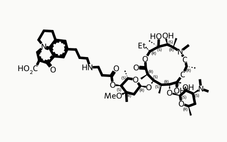 CC[C@H]1OC(=O)[C@H](C)[C@@H](O[C@H]2C[C@@](C)(OC)[C@@H](OC(=O)CCNCCCc3cc4c5c(c3)c(=O)c(C(=O)O)cn5CCC4)[C@H](C)O2)[C@H](C)[C@@H](O[C@@H]2O[C@H](C)C[C@H](N(C)C)[C@H]2O)[C@](C)(O)C[C@@H](C)CN(C)[C@H](C)[C@H](O)[C@]1(C)O